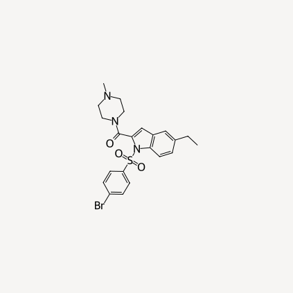 CCc1ccc2c(c1)cc(C(=O)N1CCN(C)CC1)n2S(=O)(=O)c1ccc(Br)cc1